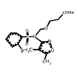 COCCOCN(c1noc(C)c1C)S(=O)(=O)c1ccccc1Br